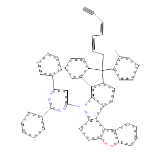 C#C/C=C\C=C/CC1(c2ccccc2O)c2ccccc2-c2c1ccc1c3c4c(ccc3n(-c3cc(-c5ccccc5)nc(-c5ccccc5)n3)c21)oc1ccccc14